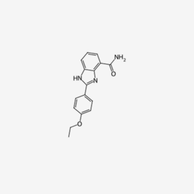 CCOc1ccc(-c2nc3c(C(N)=O)cccc3[nH]2)cc1